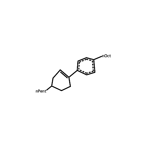 CCCCCCCCc1ccc(C2=CCC(CCCCC)CC2)cc1